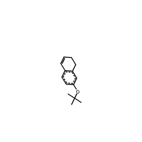 CC(C)(C)Oc1ccc2c(c1)CCC=C2